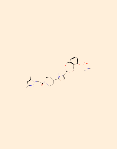 Cc1cc(C(F)(F)F)nn1CC(=O)N1CCC(c2nc(C3OCc4cccc(OS(=O)(=O)N(C)C)c4CO3)cs2)CC1